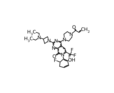 C=CC(=O)N1CCN(c2nc(N3CC(N(CC)CC)C3)nc3c(=O)n(C4=C(O)C=CCC4F)c(C(F)(F)F)cc23)CC1